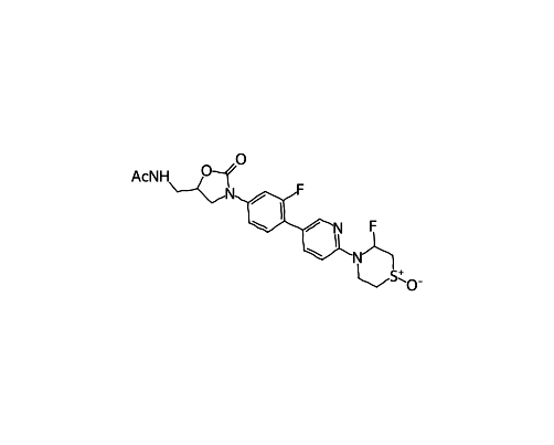 CC(=O)NCC1CN(c2ccc(-c3ccc(N4CC[S+]([O-])CC4F)nc3)c(F)c2)C(=O)O1